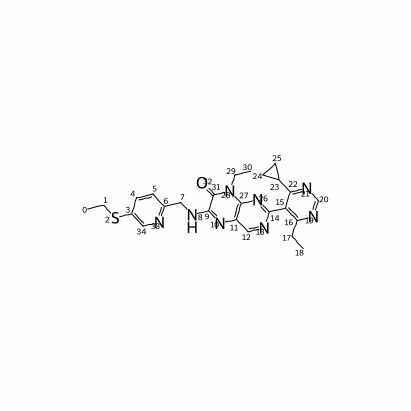 CCSc1ccc(CNc2nc3cnc(-c4c(CC)ncnc4C4CC4)nc3n(CC)c2=O)nc1